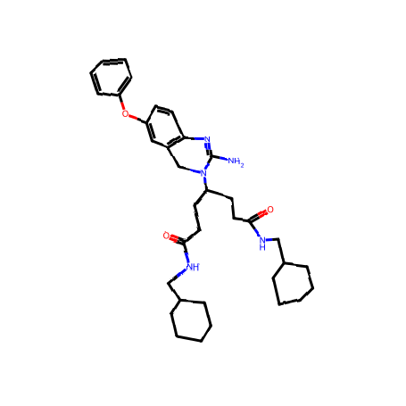 NC1=Nc2ccc(Oc3ccccc3)cc2CN1C(CCC(=O)NCC1CCCCC1)CCC(=O)NCC1CCCCC1